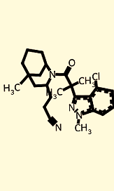 Cn1nc(C(C)(C)C(=O)N2C(CCC#N)CC3(C)CCCC2C3)c2c(Cl)cccc21